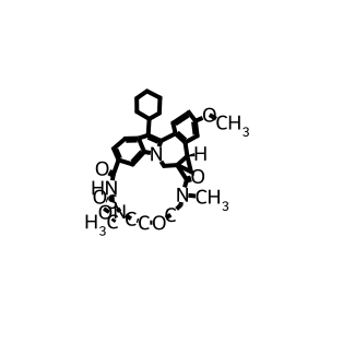 COc1ccc2c(c1)[C@@H]1CC13Cn1c-2c(C2CCCCC2)c2ccc(cc21)C(=O)NS(=O)(=O)N(C)CCOCCN(C)C3=O